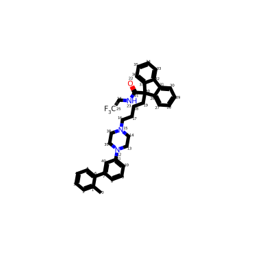 Cc1ccccc1-c1cccc(N2CCN(CCCCC3(C(=O)NCC(F)(F)F)c4ccccc4-c4ccccc43)CC2)c1